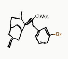 C=C1CC2CC(C)/C(=C(\OC)c3cccc(Br)c3)C(C1)C2